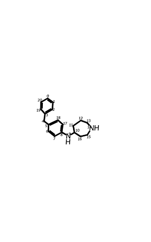 c1ccc(Cc2ccc(NC3CCCNCC3)cc2)cc1